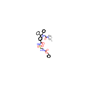 CN(C)C(=O)Cn1c(-c2ccccc2)c(C2CCCCC2)c2ccc(C(=O)NS(=O)(=O)CCNC(=O)OCc3ccccc3)cc21